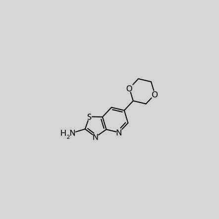 Nc1nc2ncc(C3COCCO3)cc2s1